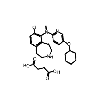 CN(c1ccc(OC2CCCCC2)cn1)c1c(Cl)ccc2c1CCNCC2.O=C(O)CCC(=O)O